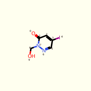 O=c1cc(I)cnn1CO